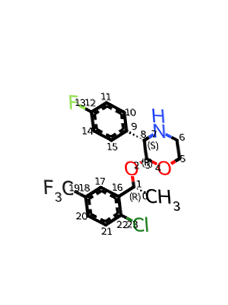 C[C@@H](O[C@H]1OCCN[C@H]1c1ccc(F)cc1)c1cc(C(F)(F)F)ccc1Cl